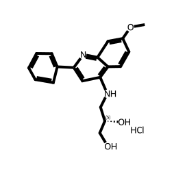 COc1ccc2c(NC[C@H](O)CO)cc(-c3ccccc3)nc2c1.Cl